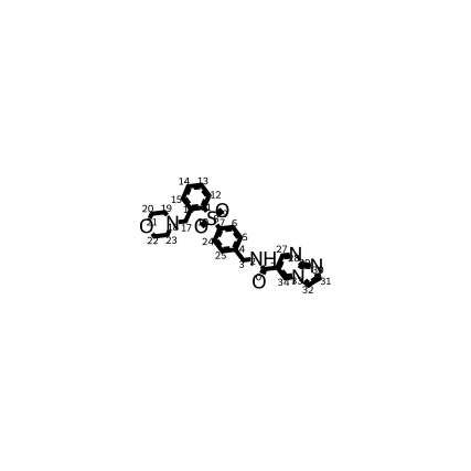 O=C(NCc1ccc(S(=O)(=O)c2ccccc2CN2CCOCC2)cc1)c1cnc2nccn2c1